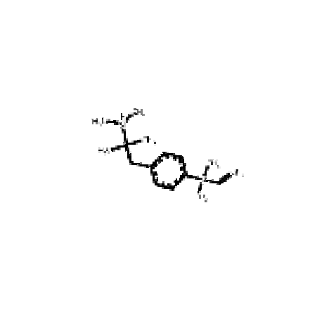 C=C[Si](C)(C)c1ccc(CC(C)(C)[SiH](C)C)cc1